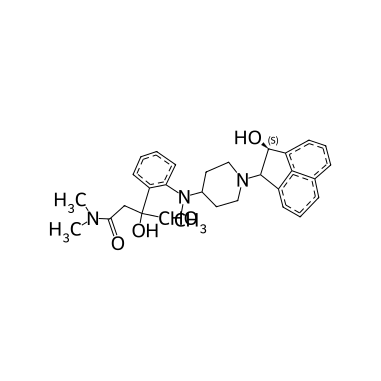 CN(C)C(=O)CC(O)(C=O)c1ccccc1N(C)C1CCN(C2c3cccc4cccc(c34)[C@@H]2O)CC1